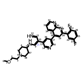 COCCN1CCC(N/C=C(\C=N)c2cncc(-c3cc(-c4cc(F)ccc4F)nc4ncccc34)c2)CC1